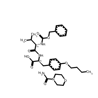 CCCCOc1ccc(C[C@H](NC(=O)[C@@H](NC(=O)OCc2ccccc2)C(C)C)C(=O)O)cc1.NC(=O)N1CCOCC1